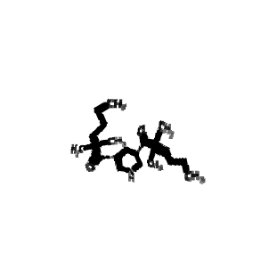 CCCCC(C)(C)C(=O)[C@@H]1CNC[C@H](C(=O)C(C)(C)CCCC)C1